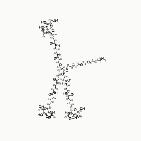 CNCCOCCOCCOCCOCCC(=O)CC(COCCC(=O)NCCCNC(=O)CCCCOC1OC(CO)C(O)C(O)C1NC(C)=O)(COCCC(=O)NCCCNC(=O)CCCCOC1OC(CO)C(O)C(O)C1NC(C)=O)COCCC(=O)NCCCNC(=O)CCCCOC1OC(CO)C(O)C(O)C1NC(C)=O